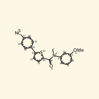 COc1cccc(N(C)C(=O)c2ccc(-c3ccc(C#N)cc3)s2)c1